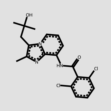 Cc1nc2c(NC(=O)c3c(Cl)cccc3Cl)cccn2c1CC(C)(C)O